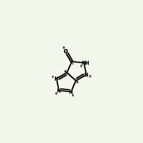 O=C1NN=C2N=NN=C12